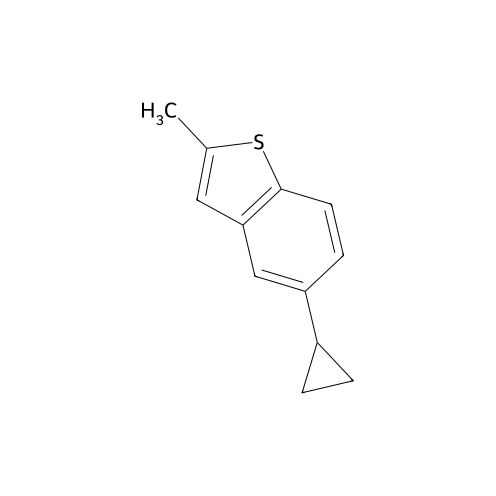 Cc1cc2cc(C3CC3)ccc2s1